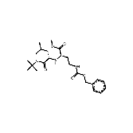 COC(=O)[C@@H](CCNC(=O)OCc1ccccc1)N[C@@H](CC(C)C)C(=O)OC(C)(C)C